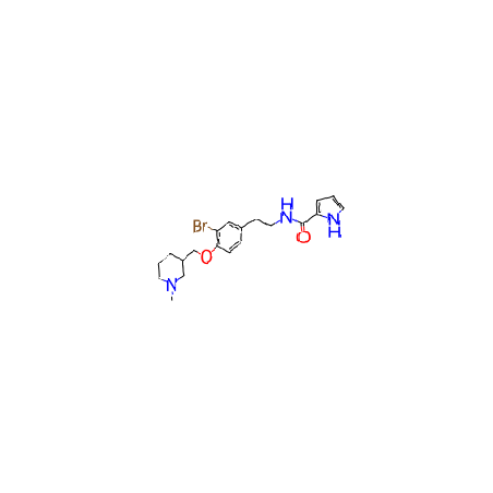 CN1CCCC(COc2ccc(CCNC(=O)c3ccc[nH]3)cc2Br)C1